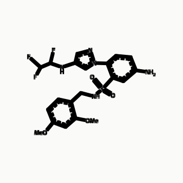 COc1ccc(CNS(=O)(=O)c2cc(N)ccc2-n2cc(NC(F)C(F)F)cn2)c(OC)c1